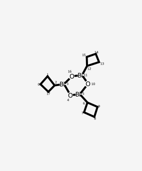 C1C[CH]([Bi]2[O][Bi]([CH]3CCC3)[O][Bi]([CH]3CCC3)[O]2)C1